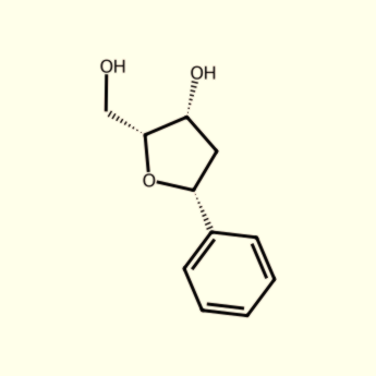 OC[C@H]1O[C@@H](c2ccccc2)C[C@H]1O